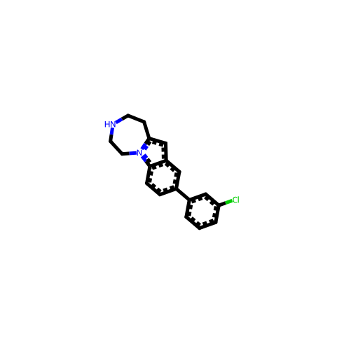 Clc1cccc(-c2ccc3c(c2)cc2n3CCNCC2)c1